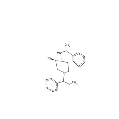 CCC(c1ccccc1)N1CC[C@@H](NC(C)c2ccccc2)[C@H](O)C1